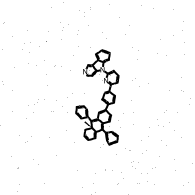 C[C@]12CC=CC=C1C(c1ccccc1)=c1ccc(-c3ccc(-c4cccc(-n5c6ccccc6c6cnccc65)n4)cc3)cc1=C2c1ccccc1